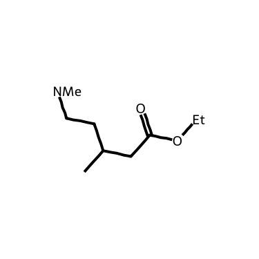 CCOC(=O)CC(C)CCNC